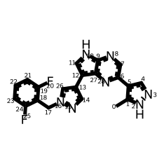 Cc1[nH]ncc1-c1cnc2[nH]cc(-c3cnn(Cc4c(F)cccc4F)c3)c2n1